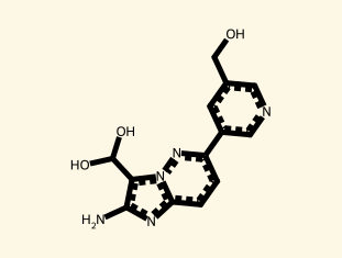 Nc1nc2ccc(-c3cncc(CO)c3)nn2c1C(O)O